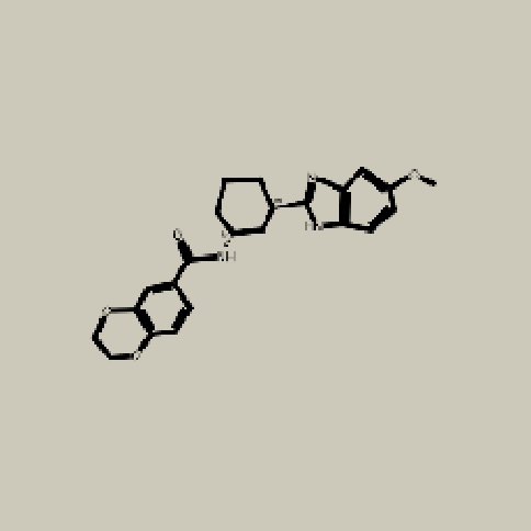 COc1ccc2[nH]c([C@@H]3CCC[C@@H](NC(=O)c4ccc5c(c4)OCCO5)C3)nc2c1